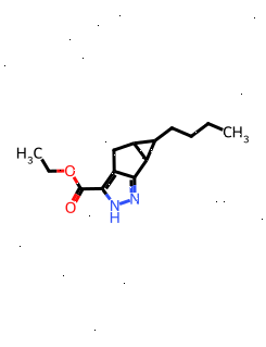 CCCCC1C2Cc3c(n[nH]c3C(=O)OCC)C12